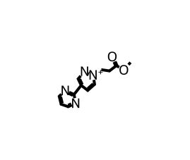 COC(=O)CC[n+]1ccc(-c2ncccn2)cn1